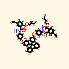 C#Cc1ccc(C(=O)OCCCC)c(C(=O)Nc2ccc(Oc3ccc(C4(c5ccc(Oc6ccc(NC(=O)c7cc(C#C)ccc7C(=O)OCCCC)cc6)cc5)c5ccccc5-c5ccccc54)cc3)cc2)c1